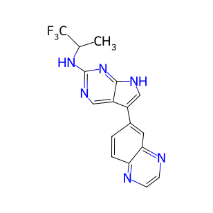 CC(Nc1ncc2c(-c3ccc4nccnc4c3)c[nH]c2n1)C(F)(F)F